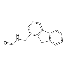 O=CNCc1cccc2c1Cc1ccccc1-2